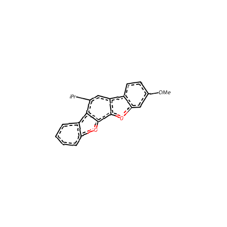 COc1ccc2c(c1)oc1c2cc(C(C)C)c2c3ccccc3oc12